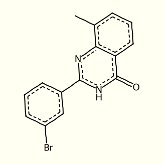 Cc1cccc2c(=O)[nH]c(-c3cccc(Br)c3)nc12